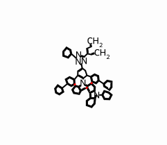 C=C/C=C(\C=C)c1nc(C2=CC(c3ccc(-c4ccccc4)cc3)=C(n3c4ccccc4c4c5c6ccccc6n(-c6ccccc6)c5ccc43)C(c3ccc(-c4ccccc4)cc3)C2)nc(-c2ccccc2)n1